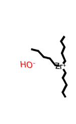 CCCC[CH2][Zr+]([CH2]CCCC)[CH2]CCCC.[OH-]